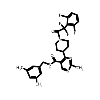 Cc1cc(C)cc(CNC(=O)c2cnc(C)nc2C2CCN(C(=O)C(F)(F)c3c(F)cccc3F)CC2)c1